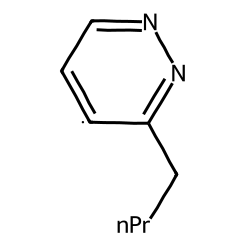 CCCCc1[c]ccnn1